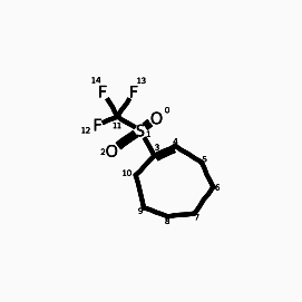 O=S(=O)(/C1=C/CCCCCC1)C(F)(F)F